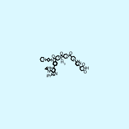 CC(C)n1cnc2cc(-c3ccc4c(c3)N(C3CC(N5CCCCC5)C3)C(=O)C43CCN(C(=O)C4(C)CCN(C(=O)C5CCN(c6ccc([C@H]7CCC(=O)NC7=O)nn6)CC5)CC4)CC3)nc(NC3CC3)c21